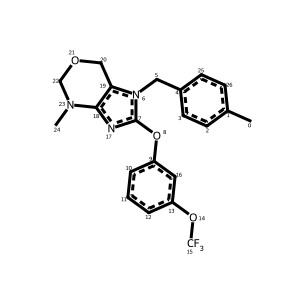 Cc1ccc(Cn2c(Oc3cccc(OC(F)(F)F)c3)nc3c2COCN3C)cc1